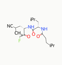 CC(C)CCC(=O)N[C@@H](CC(C)C)C(=O)N[C@@H](CC(C)C#N)C(=O)CF